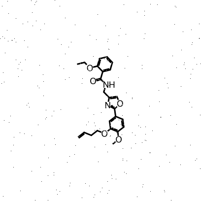 C=CCCOc1cc(-c2nc(CNC(=O)c3ccccc3OCC)co2)ccc1OC